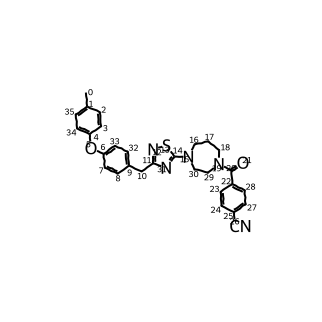 Cc1ccc(Oc2ccc(Cc3nsc(N4CCCN(C(=O)c5ccc(C#N)cc5)CC4)n3)cc2)cc1